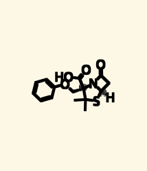 CC1(C)S[C@@H]2CC(=O)N2[C@@]1(COc1ccccc1)C(=O)O